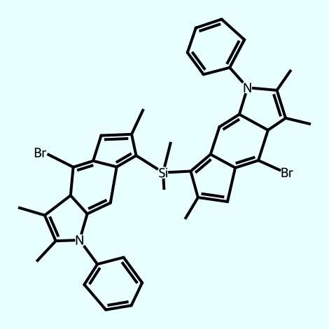 CC1=CC2=C(Br)C3C(=CC2=C1[Si](C)(C)C1=C2C=C4C(C(C)=C(C)N4c4ccccc4)C(Br)=C2C=C1C)N(c1ccccc1)C(C)=C3C